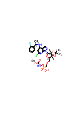 C[C@H](Nc1cc(Cl)nc2c1cnn2[C@@H]1O[C@H](COCP(=O)(O)ONC(=O)OC(C)(C)C)[C@H]2OC(C)(C)O[C@H]21)c1ccccc1F